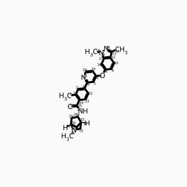 Cc1cc(-c2cc(Oc3ccc4c(C)nn(C)c4c3)ccn2)ccc1C(=O)N[C@H]1C[C@@H]2C[C@H]1CN2C